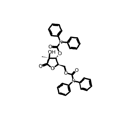 C[C@@]1(O)C(=O)O[C@H](COC(=O)N(c2ccccc2)c2ccccc2)[C@H]1OC(=O)N(c1ccccc1)c1ccccc1